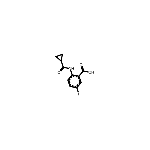 O=C(O)c1cc(F)ccc1NC(=O)C1CC1